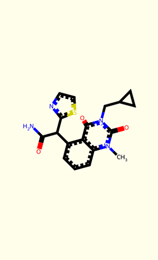 Cn1c(=O)n(CC2CC2)c(=O)c2c(C(C(N)=O)c3nccs3)cccc21